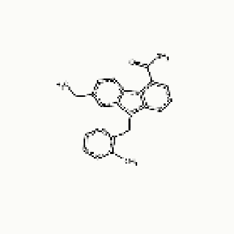 CCc1c[c]c2c3c(C(N)=O)cccc3n(Cc3ccccc3C)c2c1